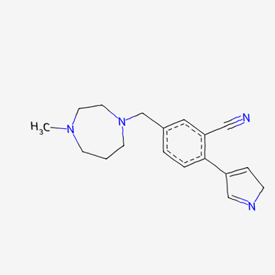 CN1CCCN(Cc2ccc(C3=CCN=C3)c(C#N)c2)CC1